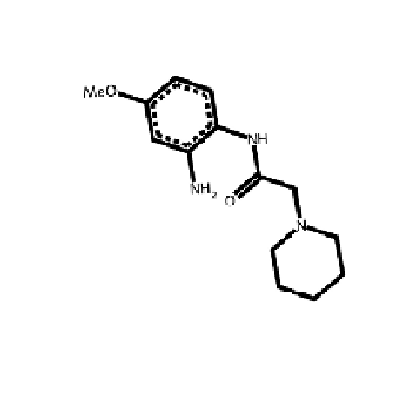 COc1ccc(NC(=O)CN2CCCCC2)c(N)c1